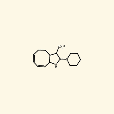 O=C(O)C1C2CC/C=C\C=C/C2NN1N1CCCCC1